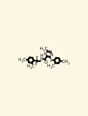 Cc1ccc(Sc2nnc(C)nc2C(=O)NCC(F)(F)c2ccc(C)cc2C)c(C)c1